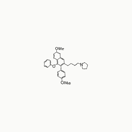 COc1ccc(-c2c(CCCCN3CCCC3)cc3cc(OC)ccc3c2Oc2ccccc2)cc1